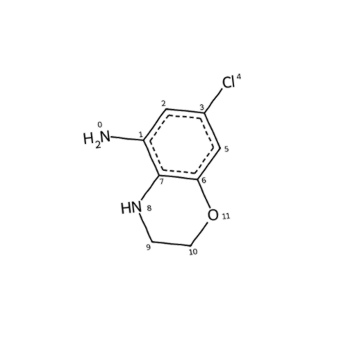 Nc1cc(Cl)cc2c1NCCO2